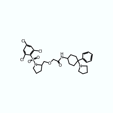 O=C(COCC1CCCN1S(=O)(=O)c1c(Cl)cc(Cl)cc1Cl)NC1CCC(c2ccccc2)(N2CCCC2)CC1